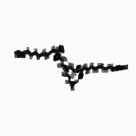 CCCCCCCCCCCCCCCCCC(=O)OCCN(CCCN(C)C)CCOC(=O)CCCCCCCCCCCCCCCCC